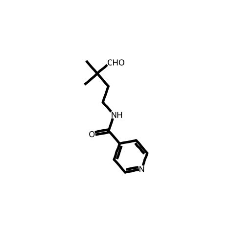 CC(C)(C=O)CCNC(=O)c1ccncc1